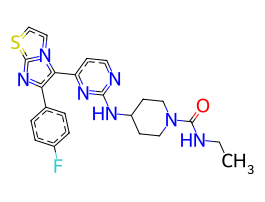 CCNC(=O)N1CCC(Nc2nccc(-c3c(-c4ccc(F)cc4)nc4sccn34)n2)CC1